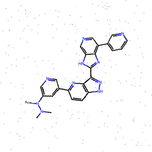 CC(=O)N(c1cncc(-c2ccc3[nH]nc(-c4nc5c(-c6cccnc6)cncc5[nH]4)c3n2)c1)N(C)C